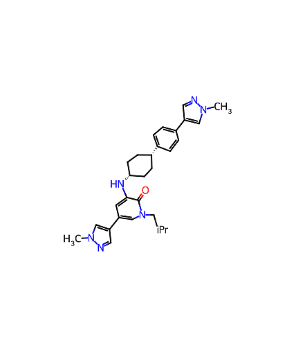 CC(C)Cn1cc(-c2cnn(C)c2)cc(N[C@H]2CC[C@@H](c3ccc(-c4cnn(C)c4)cc3)CC2)c1=O